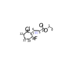 CCOC(=O)/C=C/c1c(F)cccc1Cl